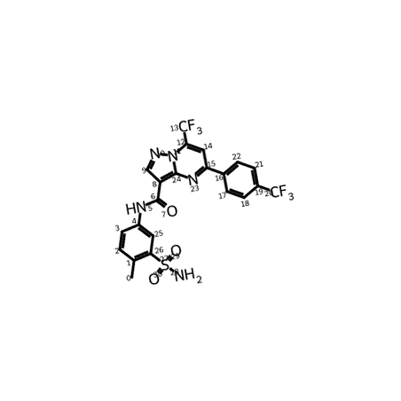 Cc1ccc(NC(=O)c2cnn3c(C(F)(F)F)cc(-c4ccc(C(F)(F)F)cc4)nc23)cc1S(N)(=O)=O